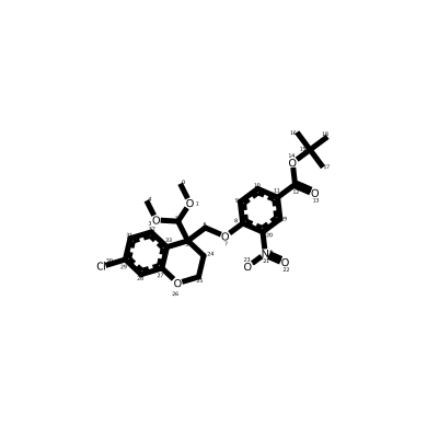 COC(OC)C1(COc2ccc(C(=O)OC(C)(C)C)cc2[N+](=O)[O-])CCOc2cc(Cl)ccc21